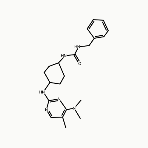 Cc1cnc(NC2CCC(NC(=O)NCc3ccccc3)CC2)nc1N(C)C